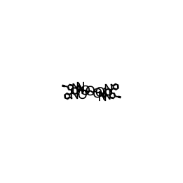 C#Cc1ccc2c(c1)C(c1ccccc1C)=NC(C)c1c(OOCCOCOC(=O)c3ncn4c3C(C)N=C(c3ccccc3C)c3cc(C#C)ccc3-4)ncn1-2